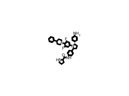 Nc1ccc([C@@H]2CCC(c3ccc(NC(=O)C4CCCN4)cc3)N2c2cc(F)c(N3CCC(c4ccccc4)CC3)c(F)c2)cc1